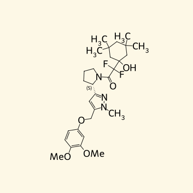 COc1ccc(OCc2cc([C@@H]3CCCN3C(=O)C(F)(F)C3(O)CC(C)(C)CC(C)(C)C3)nn2C)cc1OC